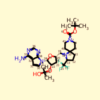 CC(C)(C)OC(=O)N1CCC2(CCC(C(F)(F)F)N2C[C@@H]2C[C@@H](OC(C)(C)O)[C@H](n3ccc4c(N)ncnc43)O2)CC1